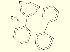 C.c1ccc(-c2ccccc2)cc1.c1ccc(-c2ccccc2)cc1